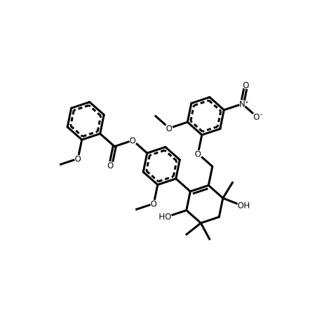 COc1ccc([N+](=O)[O-])cc1OCC1=C(c2ccc(OC(=O)c3ccccc3OC)cc2OC)C(O)C(C)(C)CC1(C)O